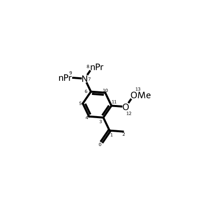 C=C(C)c1ccc(N(CCC)CCC)cc1OOC